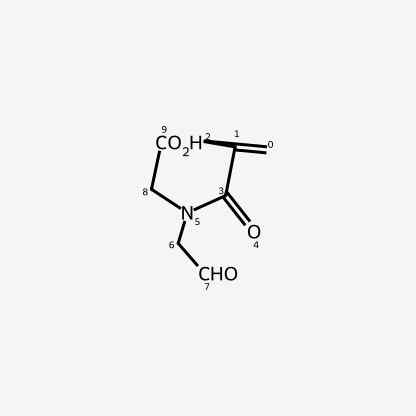 C=C(C)C(=O)N(CC=O)CC(=O)O